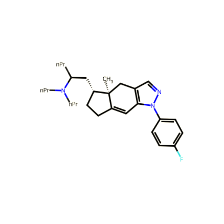 CCCC(C[C@H]1CCC2=Cc3c(cnn3-c3ccc(F)cc3)C[C@@]21C)N(CCC)CCC